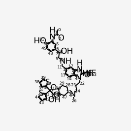 CC(=O)Nc1cc([C@@H](O)CNCc2ccc3c(c2)[nH]c(=O)n3CCCN(C)[C@H]2CC[C@H](OC(C(=O)O)(c3cccs3)c3cccs3)CC2)ccc1O.F.F